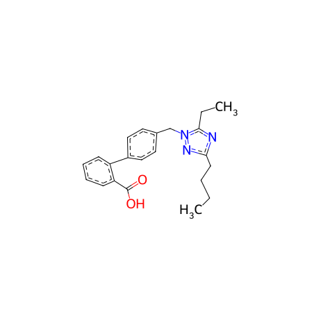 CCCCc1nc(CC)n(Cc2ccc(-c3ccccc3C(=O)O)cc2)n1